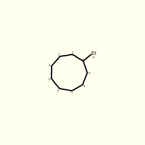 CCC1CCCCCCCC1